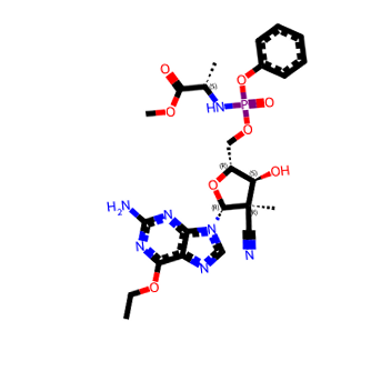 CCOc1nc(N)nc2c1ncn2[C@@H]1O[C@H](COP(=O)(N[C@@H](C)C(=O)OC)Oc2ccccc2)[C@@H](O)[C@@]1(C)C#N